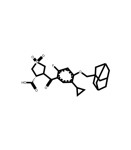 O=C(c1cc(C2CC2)c(OCC23CC4CC(CC(C4)C2)C3)cc1F)C1CS(=O)(=O)C[C@H]1C(=O)O